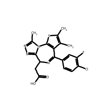 Cc1sc2c(c1C)C(c1ccc(Cl)c(F)c1)=NC(CC(=O)O)c1nnc(C)n1-2